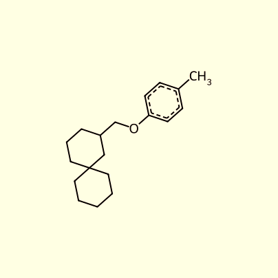 Cc1ccc(OCC2CCCC3(CCCCC3)C2)cc1